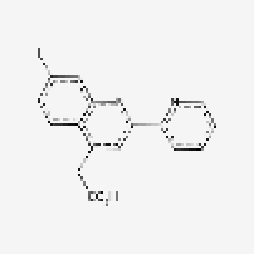 O=C(O)Cc1cc(-c2ccccn2)nc2cc(I)ccc12